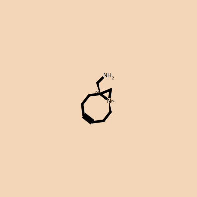 NC[C@]12CCC#CCC[N@]1C2